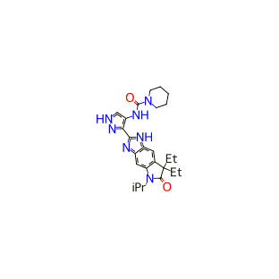 CCC1(CC)C(=O)N(C(C)C)c2cc3nc(-c4n[nH]cc4NC(=O)N4CCCCC4)[nH]c3cc21